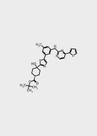 Cc1cc(Nc2nccc(-c3cccs3)n2)cc(-c2cnc([C@]3(O)CC[C@@H](C(=O)OC(C)(C)C)CC3)s2)c1